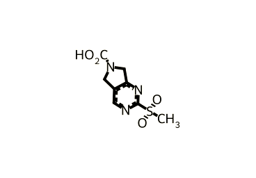 CS(=O)(=O)c1ncc2c(n1)CN(C(=O)O)C2